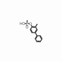 Cc1cc(-c2ccccc2)ccc1OP(C)(=O)O